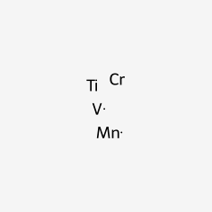 [Cr].[Mn].[Ti].[V]